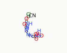 N#Cc1ccc(O[C@H]2CC[C@H](NC(=O)c3ccc(N4CCC(CN5CCN(c6ccc7c(c6)C(=O)N(C6CCC(=O)NC6=O)C7=O)CC5)CC4)nn3)CC2)cc1Cl